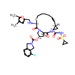 Cc1cc(CN[C@H]2CCCCC/C=C\[C@@H]3C[C@@]3(C(=O)NS(=O)(=O)C3CC3)NC(=O)[C@@H]3C[C@@H](OC(=O)N4Cc5cccc(F)c5C4)CN3C2=O)oc1C